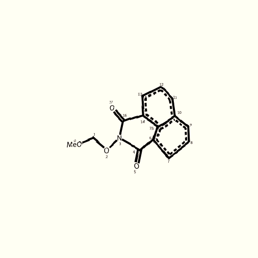 COCON1C(=O)c2cccc3cccc(c23)C1=O